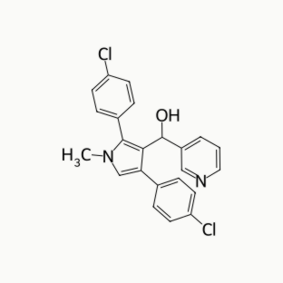 Cn1cc(-c2ccc(Cl)cc2)c(C(O)c2cccnc2)c1-c1ccc(Cl)cc1